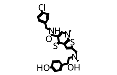 CN(Cc1cc2c(=S)c(C(=O)NCc3ccc(Cl)cc3)cn(C)c2s1)CC(O)c1ccc(O)cc1